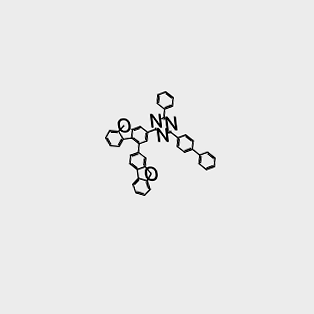 c1ccc(-c2ccc(-c3nc(-c4ccccc4)nc(-c4cc(-c5ccc6c(c5)oc5ccccc56)c5c(c4)oc4ccccc45)n3)cc2)cc1